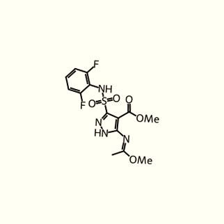 COC(=O)c1c(S(=O)(=O)Nc2c(F)cccc2F)n[nH]c1N=C(C)OC